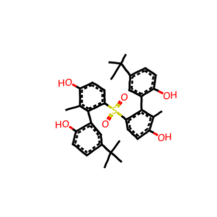 Cc1c(O)ccc(S(=O)(=O)c2ccc(O)c(C)c2-c2cc(C(C)(C)C)ccc2O)c1-c1cc(C(C)(C)C)ccc1O